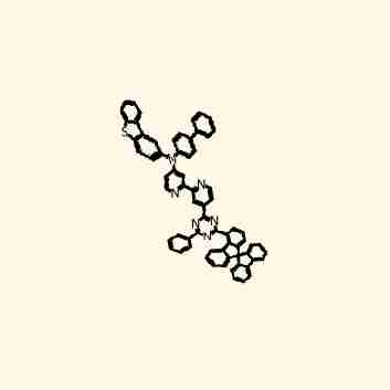 c1ccc(-c2ccc(N(c3ccnc(-c4cc(-c5nc(-c6ccccc6)nc(-c6cccc7c6-c6ccccc6C76c7ccccc7-c7ccccc76)n5)ccn4)c3)c3ccc4sc5ccccc5c4c3)cc2)cc1